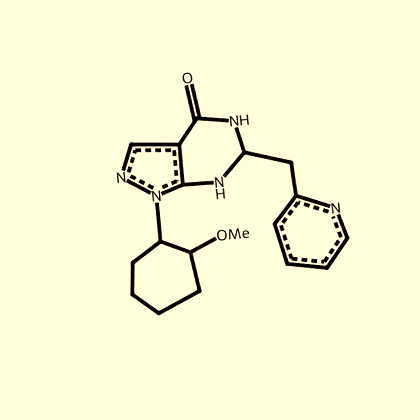 COC1CCCCC1n1ncc2c1NC(Cc1ccccn1)NC2=O